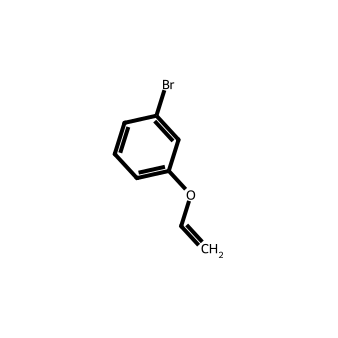 C=COc1cccc(Br)c1